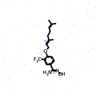 CC(C)=CCC/C(C)=C/COc1ccc(/C(N)=N/O)cc1C(F)(F)F